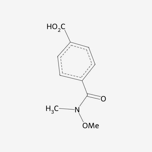 CON(C)C(=O)c1ccc(C(=O)O)cc1